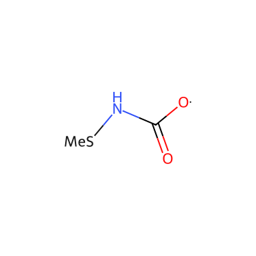 CSNC([O])=O